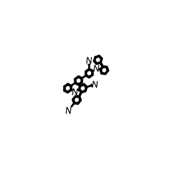 N#Cc1ccc2c(c1)c1ccc(C#N)cc1n2-c1ccccc1-c1ccc(-c2ccc(-n3c4ccccc4c4ccccc43)c(C#N)c2)cc1